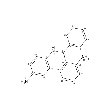 Nc1ccc(NC(C2=CC=CCC2)c2ccccc2N)cc1